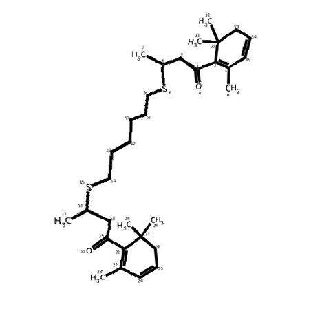 CC1=C(C(=O)CC(C)SCCCCCCSC(C)CC(=O)C2=C(C)C=CCC2(C)C)C(C)(C)CC=C1